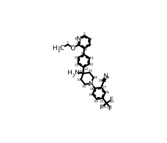 CCOc1ncccc1-c1ccc(C2(N)CCN(c3ccc(C(F)(F)F)cc3C#N)CC2)cc1